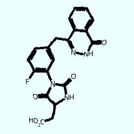 O=C(O)CC1NC(=O)N(c2cc(Cc3n[nH]c(=O)c4ccccc34)ccc2F)C1=O